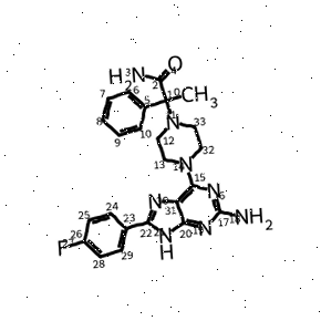 CC(C(N)=O)(c1ccccc1)N1CCN(c2nc(N)nc3[nH]c(-c4ccc(F)cc4)nc23)CC1